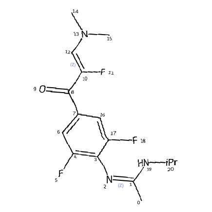 C/C(=N/c1c(F)cc(C(=O)/C(F)=C/N(C)C)cc1F)NC(C)C